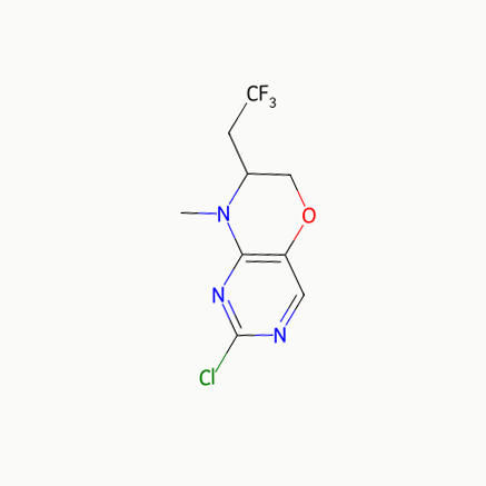 CN1c2nc(Cl)ncc2OCC1CC(F)(F)F